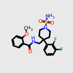 COc1ccccc1C(=O)NCC1(c2cccc(F)c2F)CCN(S(N)(=O)=O)CC1